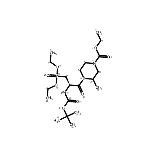 CCOC(=O)N1CCN(C(=O)[C@H](CP(=O)(OCC)OCC)NC(=O)OC(C)(C)C)C(C)C1